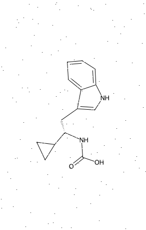 O=C(O)N[C@@H](Cc1c[nH]c2ccccc12)C1CC1